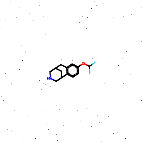 FC(F)Oc1ccc2c(c1)CC1CNCC2C1